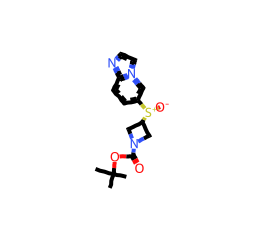 CC(C)(C)OC(=O)N1CC([S+]([O-])c2ccc3nccn3c2)C1